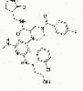 CNc1nc(NC(CCO)c2ccccc2Cl)nc(N2CCN(C(=O)c3ccc(F)cc3)CC2C(=O)NCC2CCNC2=O)n1